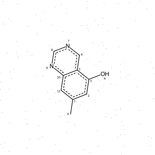 Cc1cc(O)c2cncnc2c1